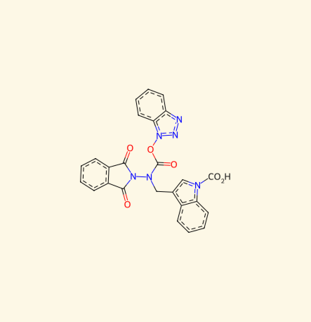 O=C(On1nnc2ccccc21)N(Cc1cn(C(=O)O)c2ccccc12)N1C(=O)c2ccccc2C1=O